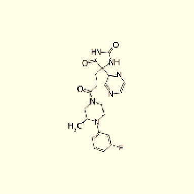 C[C@H]1CN(C(=O)CCC2(c3cnccn3)NC(=O)NC2=O)CCN1c1cccc(F)c1